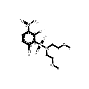 COCCN(CCOC)S(=O)(=O)c1c(Cl)ccc([N+](=O)[O-])c1Cl